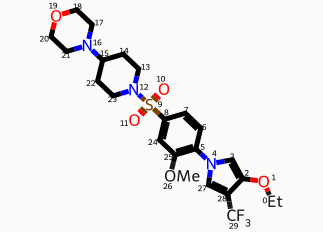 CCOc1cn(-c2ccc(S(=O)(=O)N3CCC(N4CCOCC4)CC3)cc2OC)cc1C(F)(F)F